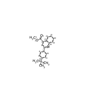 COC(=O)c1cc(-c2ccc(C(C)(C)C)cc2)nc2ccccc12